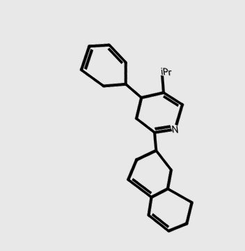 CC(C)C1=CN=C(C2CC=C3C=CCCC3C2)CC1C1C=CC=CC1